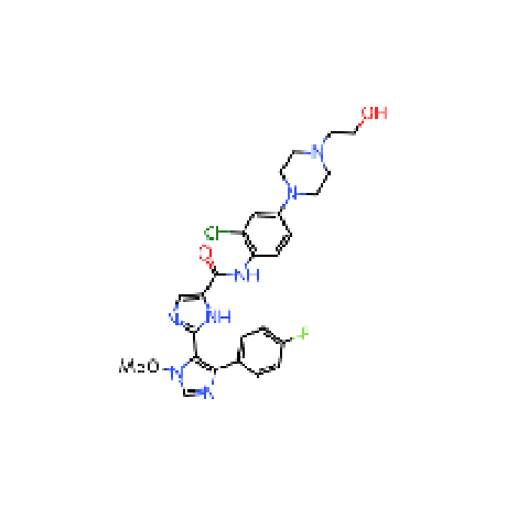 COn1cnc(-c2ccc(F)cc2)c1-c1ncc(C(=O)Nc2ccc(N3CCN(CCO)CC3)cc2Cl)[nH]1